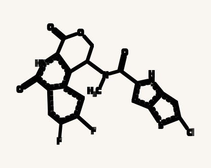 CN(C(=O)c1cc2sc(Cl)cc2[nH]1)C1COC(=O)c2[nH]c(=O)c3cc(F)c(F)cc3c21